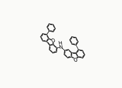 c1ccc(-c2cccc3c2oc2c(Nc4ccc5oc6cccc(-c7ccccc7)c6c5c4)cccc23)cc1